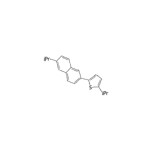 CC(C)c1ccc2cc(-c3ccc(C(C)C)s3)ccc2c1